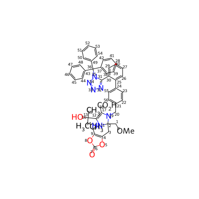 COCC1(Cc2oc(=O)oc2C)NC(C(C)(C)O)=C(C(=O)O)N1Cc1ccc(-c2ccccc2-c2nnnn2C(c2ccccc2)(c2ccccc2)c2ccccc2)cc1